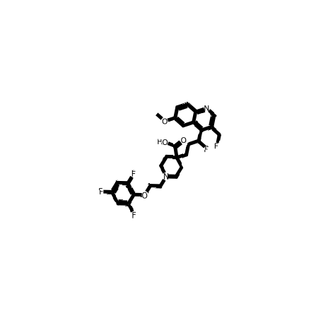 COc1ccc2ncc(CF)c(C(F)CCC3(C(=O)O)CCN(CCOc4c(F)cc(F)cc4F)CC3)c2c1